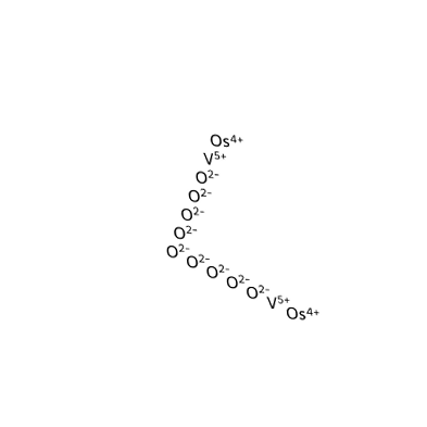 [O-2].[O-2].[O-2].[O-2].[O-2].[O-2].[O-2].[O-2].[O-2].[Os+4].[Os+4].[V+5].[V+5]